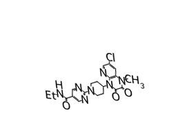 CCNC(=O)c1cnc(N2CCC(n3c(=O)c(=O)n(C)c4cc(Cl)cnc43)CC2)nc1